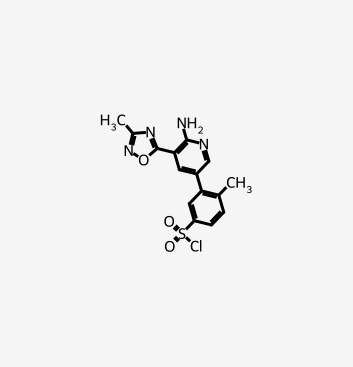 Cc1noc(-c2cc(-c3cc(S(=O)(=O)Cl)ccc3C)cnc2N)n1